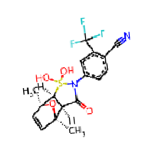 C[C@]12C=C[C@](C)(O1)[C@@H]1[C@H]2C(=O)N(c2ccc(C#N)c(C(F)(F)F)c2)S1(O)O